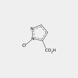 O=C(O)c1ccnn1Cl